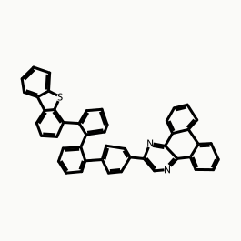 c1ccc(-c2ccccc2-c2cccc3c2sc2ccccc23)c(-c2ccc(-c3cnc4c5ccccc5c5ccccc5c4n3)cc2)c1